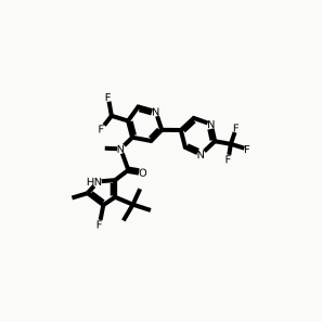 Cc1[nH]c(C(=O)N(C)c2cc(-c3cnc(C(F)(F)F)nc3)ncc2C(F)F)c(C(C)(C)C)c1F